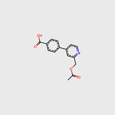 CC(=O)OCc1cc(-c2ccc(C(=O)O)cc2)ccn1